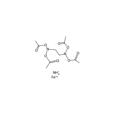 CC(=O)ON(CCN(OC(C)=O)OC(C)=O)OC(C)=O.[Fe+2].[NH4+]